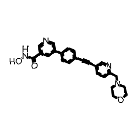 O=C(NO)c1cncc(-c2ccc(C#Cc3ccc(CN4CCOCC4)nc3)cc2)c1